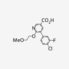 COCCOc1ncc(C(=O)O)cc1-c1ccc(Cl)c(F)c1